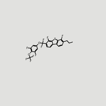 CCCc1ccc2c(sc3c(F)c(C(F)(F)Oc4cc(F)c(OC(F)(F)F)c(F)c4)ccc32)c1F